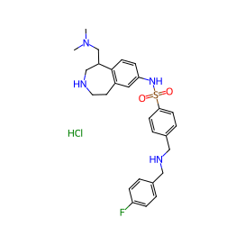 CN(C)CC1CNCCc2cc(NS(=O)(=O)c3ccc(CNCc4ccc(F)cc4)cc3)ccc21.Cl